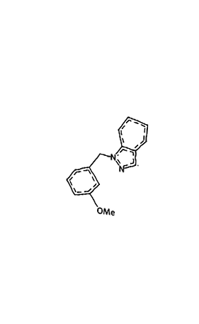 COc1cccc(Cn2n[c]c3ccccc32)c1